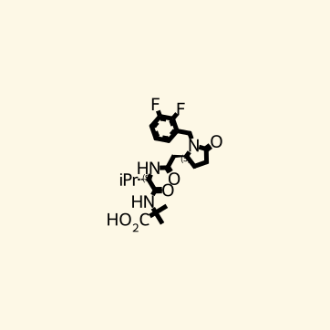 CC(C)[C@H](NC(=O)C[C@@H]1CCC(=O)N1Cc1cccc(F)c1F)C(=O)NC(C)(C)C(=O)O